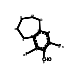 O=Cc1c(F)cc2c(c1F)CCCCC2